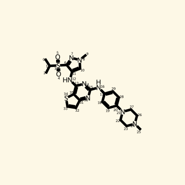 CC(C)S(=O)(=O)c1nn(C)cc1Nc1nc(Nc2ccc(N3CCN(C)CC3)cc2)nc2ccsc12